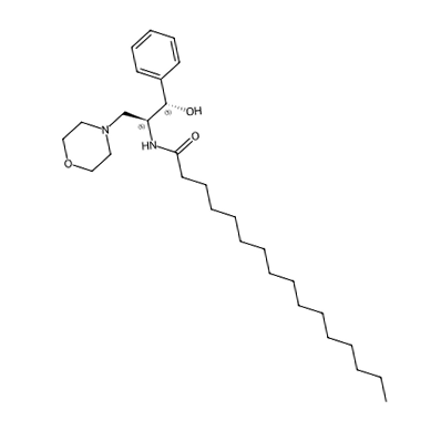 CCCCCCCCCCCCCCCC(=O)N[C@@H](CN1CCOCC1)[C@@H](O)c1ccccc1